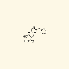 O=C(O)C(Cc1ccnc(CC2CCCCC2)c1)C(=O)O